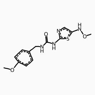 CONc1cnc(NC(=O)NCc2ccc(OC)cc2)s1